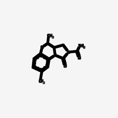 CC1Oc2ccc(C(F)(F)F)cc2N2C(=O)N(C(N)=O)CC12